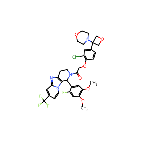 COc1cc(F)c(C2c3c(nc4cc(C(F)(F)F)ccn34)CCN2C(=O)COc2ccc(C3(N4CCOCC4)COC3)cc2Cl)cc1OC